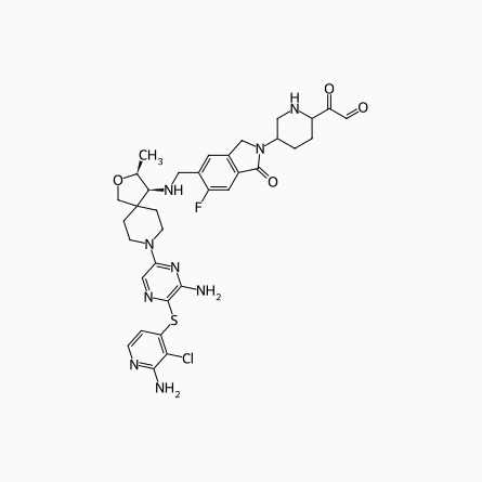 C[C@@H]1OCC2(CCN(c3cnc(Sc4ccnc(N)c4Cl)c(N)n3)CC2)[C@@H]1NCc1cc2c(cc1F)C(=O)N(C1CCC(C(=O)C=O)NC1)C2